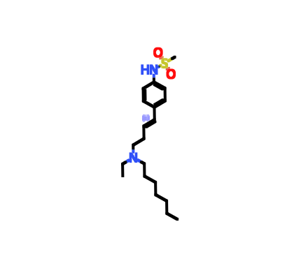 CCCCCCCN(CC)CC/C=C/c1ccc(NS(C)(=O)=O)cc1